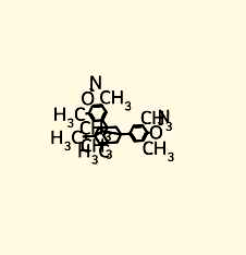 Cc1cc(C23CC4(C)CC(c5cc(C)c(OC#N)c(C)c5)(C2)CC(C(C)(C)C)(C4)C3)cc(C)c1OC#N